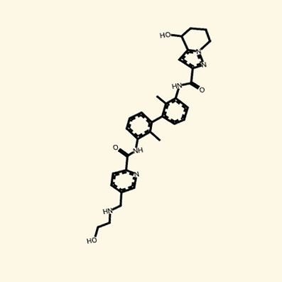 Cc1c(NC(=O)c2ccc(CNCCO)cn2)cccc1-c1cccc(NC(=O)c2cc3n(n2)CCCC3O)c1C